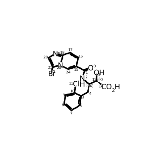 O=C(N[C@H](Cc1ccccc1Cl)[C@@H](O)C(=O)O)c1ccc2ncc(Br)n2c1